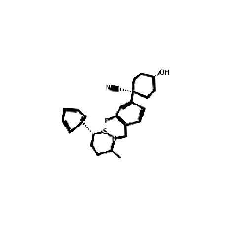 C[C@H]1CC[C@H](c2ccccc2)SN1Cc1ccc([C@]2(C#N)CC[C@@H](O)CC2)cc1F